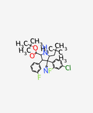 CC(C)(C)CC1NC(C(=O)OC(C)(C)C)C(c2cccc(F)c2)C1(C#N)c1ccc(Cl)cc1F